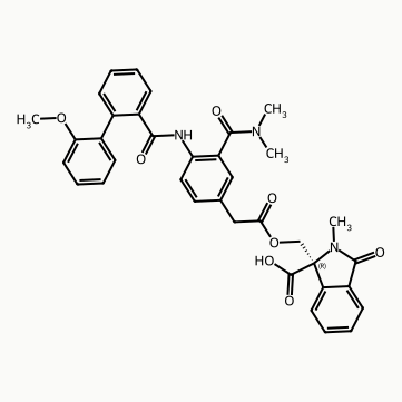 COc1ccccc1-c1ccccc1C(=O)Nc1ccc(CC(=O)OC[C@@]2(C(=O)O)c3ccccc3C(=O)N2C)cc1C(=O)N(C)C